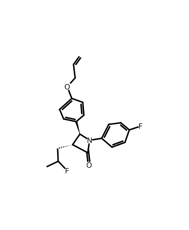 C=CCOc1ccc([C@@H]2[C@@H](CC(C)F)C(=O)N2c2ccc(F)cc2)cc1